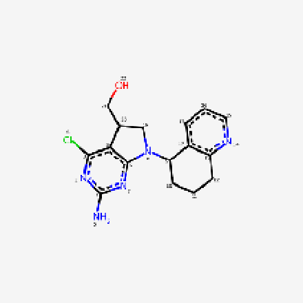 Nc1nc(Cl)c2c(n1)N(C1CCCc3ncccc31)CC2CO